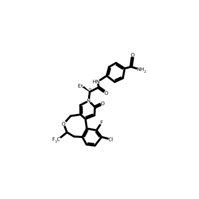 CC[C@@H](C(=O)Nc1ccc(C(N)=O)cc1)n1cc2c(cc1=O)-c1c(ccc(Cl)c1F)CC(C(F)(F)F)OC2